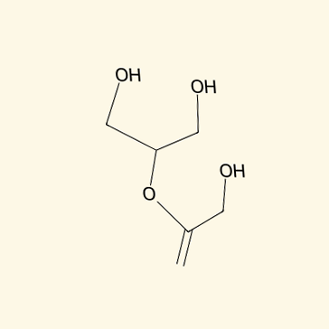 C=C(CO)OC(CO)CO